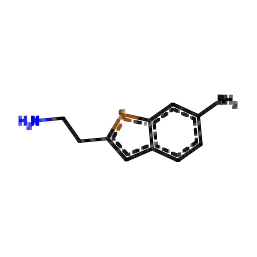 Bc1ccc2cc(CCN)sc2c1